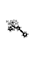 CC(C)(C)Nc1cc(-c2ccc(C#Cc3ccccn3)s2)nc2ccnn12